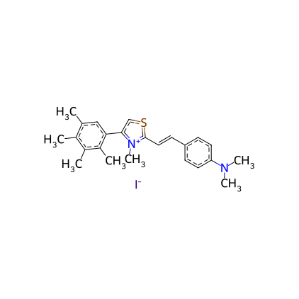 Cc1cc(-c2csc(/C=C/c3ccc(N(C)C)cc3)[n+]2C)c(C)c(C)c1C.[I-]